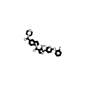 Nc1c(C(=O)n2ccc3cc(C(=O)N4CCOCC4)ccc32)cnn1-c1ccc(Oc2ccccc2F)nc1